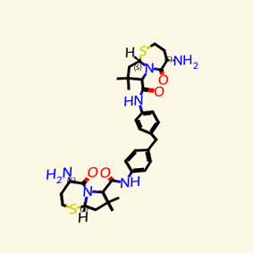 CC1(C)C[C@@H]2SCC[C@H](N)C(=O)N2C1C(=O)Nc1ccc(Cc2ccc(NC(=O)C3N4C(=O)[C@@H](N)CCS[C@H]4CC3(C)C)cc2)cc1